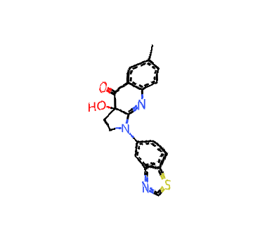 Cc1ccc2c(c1)C(=O)C1(O)CCN(c3ccc4scnc4c3)C1=N2